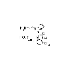 CC(=O)O.Cc1cccc2nc(-c3cn(CCCN)c4ccccc34)c(=O)[nH]c12